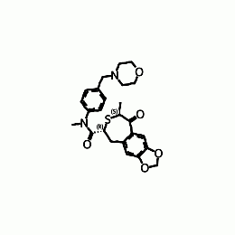 C[C@@H]1S[C@@H](C(=O)N(C)c2ccc(CN3CCOCC3)cc2)Cc2cc3c(cc2C1=O)OCO3